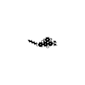 CCCCCCCOc1ccc(-c2cc(Cl)c(-c3ccc(N(CC)CC)cc3)c(C3=CC(=O)C=CC3=O)c2Cl)cc1